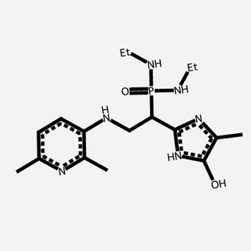 CCNP(=O)(NCC)C(CNc1ccc(C)nc1C)c1nc(C)c(O)[nH]1